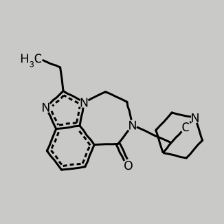 CCc1nc2cccc3c2n1CCN(C1CN2CCC1CC2)C3=O